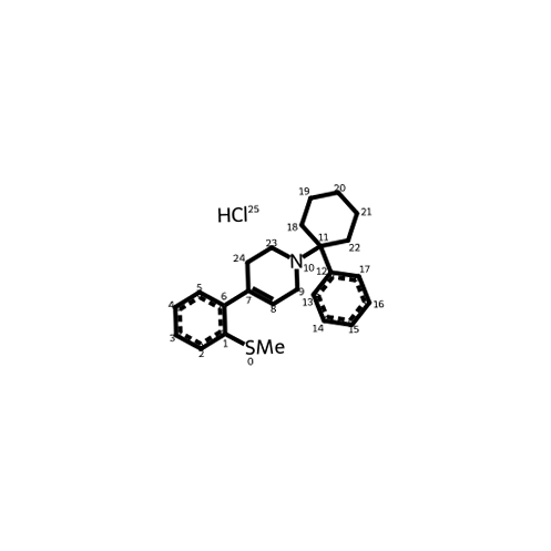 CSc1ccccc1C1=CCN(C2(c3ccccc3)CCCCC2)CC1.Cl